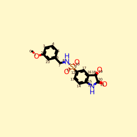 COc1cccc(CNS(=O)(=O)c2ccc3c(c2)C(=O)C(=O)N3)c1